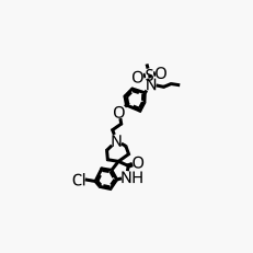 CCCN(c1ccc(OCCN2CCC3(CC2)C(=O)Nc2ccc(Cl)cc23)cc1)S(C)(=O)=O